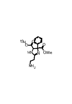 COC(=O)C1(c2ccccc2)N=C(CCN)NC1C(=O)OC(C)(C)C